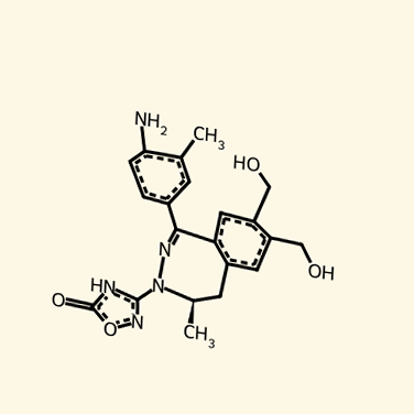 Cc1cc(C2=NN(c3noc(=O)[nH]3)[C@H](C)Cc3cc(CO)c(CO)cc32)ccc1N